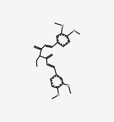 C=C(/C=C/c1ccc(OC)c(OC)c1)C(CC)C(=C)/C=C/c1ccc(OC)c(OC)c1